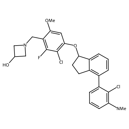 CNc1cccc(-c2cccc3c2CCC3Oc2cc(OC)c(CN3CC(O)C3)c(F)c2Cl)c1Cl